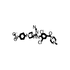 CN1CCN(C(=O)c2cc(Cl)c(N/C(=N/C#N)N3CCN(c4ccc([N+](=O)[O-])cc4)CC3)c(Cl)c2)CC1